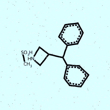 CS(=O)(=O)O.c1ccc(C(c2ccccc2)C2CNC2)cc1